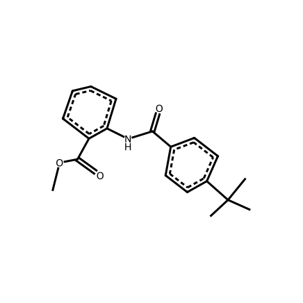 COC(=O)c1ccccc1NC(=O)c1ccc(C(C)(C)C)cc1